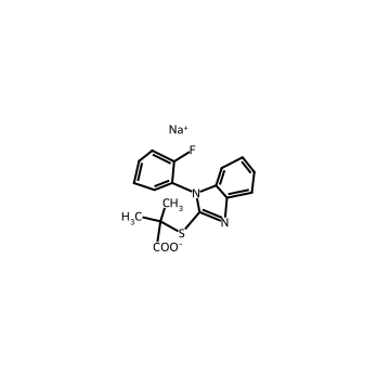 CC(C)(Sc1nc2ccccc2n1-c1ccccc1F)C(=O)[O-].[Na+]